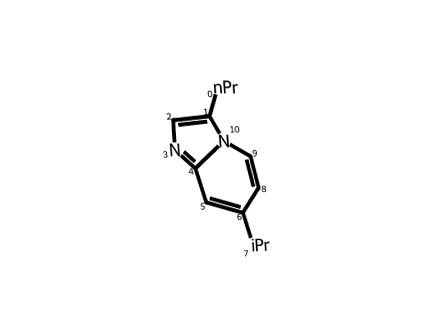 CCCc1cnc2cc(C(C)C)ccn12